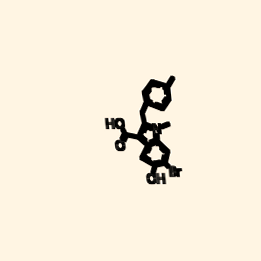 Cc1ccc(Cc2c(C(=O)O)c3cc(O)c(Br)cc3n2C)cc1